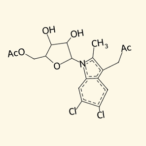 CC(=O)Cc1c(C)n(C2OC(COC(C)=O)C(O)C2O)c2cc(Cl)c(Cl)cc12